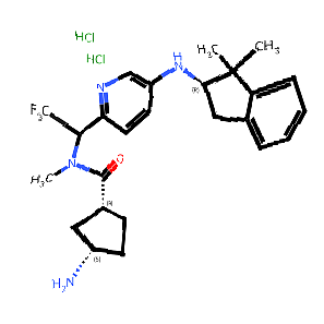 CN(C(=O)[C@@H]1CC[C@H](N)C1)C(c1ccc(N[C@@H]2Cc3ccccc3C2(C)C)cn1)C(F)(F)F.Cl.Cl